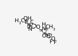 C[C@H]1C[C@@](O)(c2ccc(OC(F)F)cc2)C[C@@H](COc2cc(C(F)(F)F)c3c(c2)ncn3C2CC(C)(O)C2)N1